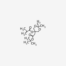 C=C(C)C(=O)OC1(CC(=O)OC(C)(C)C)COC(C)(C)OC1